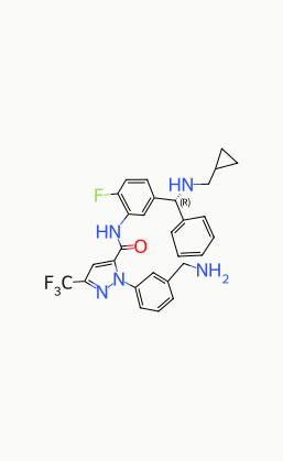 NCc1cccc(-n2nc(C(F)(F)F)cc2C(=O)Nc2cc([C@H](NCC3CC3)c3ccccc3)ccc2F)c1